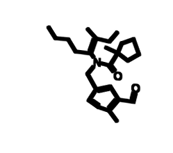 CCCC/C(=C(\C)CC)N(Cc1ccc(C)c(C=O)c1)C(=O)C1(C)CCCC1